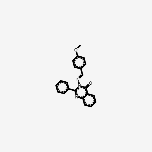 COc1ccc(/C=N/n2c(-c3ccccc3)nc3ccccc3c2=O)cc1